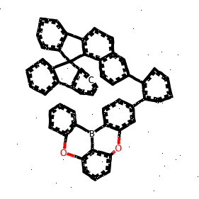 c1ccc2c(c1)Oc1cccc3c1B2c1ccc(-c2ccccc2-c2ccc4c5c(ccc4c2)-c2ccccc2C52c4ccccc4-c4ccccc42)cc1O3